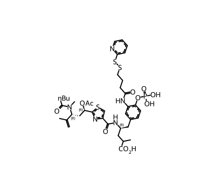 C=C(C)[C@@H](C[C@@H](OC(C)=O)c1nc(C(=O)N[C@@H](Cc2ccc(OP(=O)(O)O)c(NC(=O)CCCSSc3ccccn3)c2)CC(C)C(=O)O)cs1)N(C)C(=O)CCCC